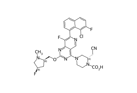 CN1C[C@H](F)C[C@@H]1COc1nc(N2CCN(C(=O)O)[C@@H](CC#N)C2)c2cnc(-c3cccc4ccc(F)c(Cl)c34)c(F)c2n1